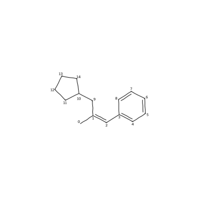 CC(=Cc1ccccc1)CC1CCCC1